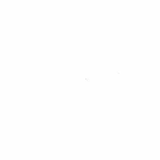 COc1cccc(CCON=Cc2cccnc2-c2ccccc2)c1